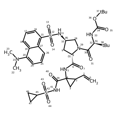 C=CC1CC1(NC(=O)[C@@H]1C[C@@H](NS(=O)(=O)c2cccc3c(N(C)C)cccc23)CN1C(=O)[C@@H](NC(=O)OC(C)(C)C)C(C)(C)C)C(=O)NS(=O)(=O)C1CC1